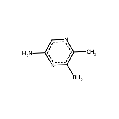 Bc1nc(N)cnc1C